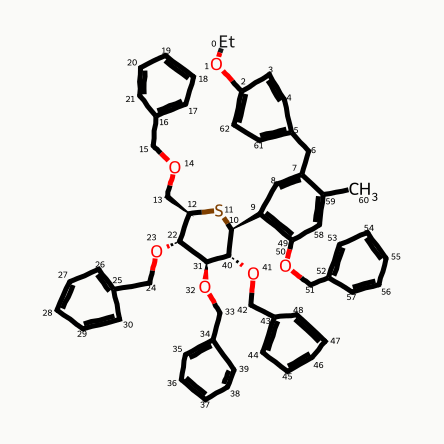 CCOc1ccc(Cc2cc([C@@H]3S[C@H](COCc4ccccc4)[C@@H](OCc4ccccc4)[C@H](OCc4ccccc4)[C@H]3OCc3ccccc3)c(OCc3ccccc3)cc2C)cc1